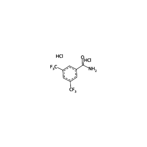 Cl.Cl.NC(=O)c1cc(C(F)(F)F)cc(C(F)(F)F)c1